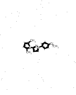 COc1ccc(-n2ccc(-n3c(C)ccc3C)n2)cc1